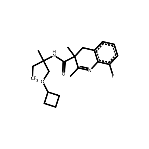 CC1=Nc2c(F)cccc2CC1(C)C(=O)NC(C)(COC1CCC1)CC(F)(F)F